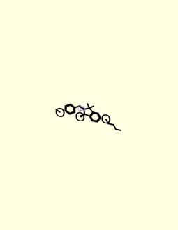 CCCCOc1ccc2c(c1)C(C)(C)/C(=C/c1ccc(OC)cc1)C2=O